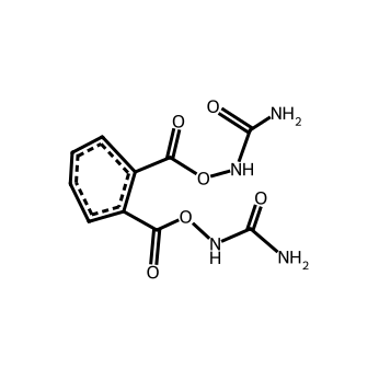 NC(=O)NOC(=O)c1ccccc1C(=O)ONC(N)=O